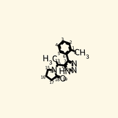 Cc1ccccc1-c1nn[nH]c1C(C)N1CCCC1=O